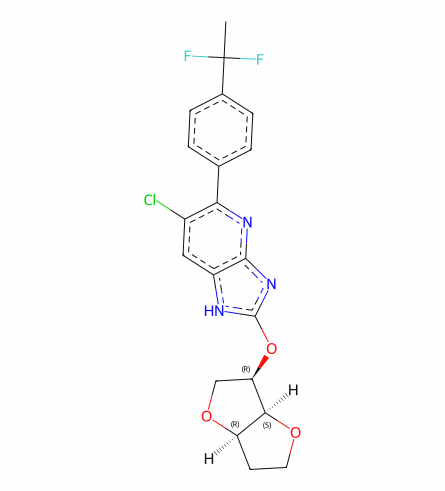 CC(F)(F)c1ccc(-c2nc3nc(O[C@@H]4CO[C@@H]5CCO[C@@H]54)[nH]c3cc2Cl)cc1